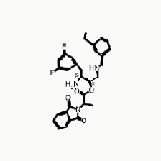 CCc1cccc(CNC[C@@H](OC(=O)C(C)N2C(=O)c3ccccc3C2=O)[C@@H](N)Cc2cc(F)cc(F)c2)c1